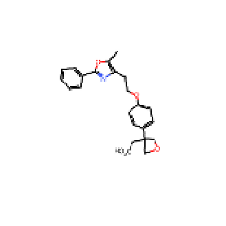 Cc1oc(-c2ccccc2)nc1CCOc1ccc(C2(CC(=O)O)COC2)cc1